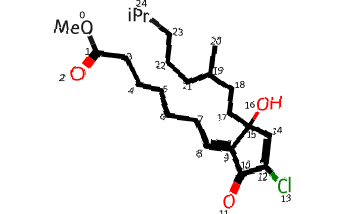 COC(=O)CCCCCC=C1C(=O)C(Cl)=CC1(O)CCC(C)CCCC(C)C